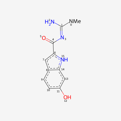 CNC(N)=NC(=O)c1cc2ccc(O)cc2[nH]1